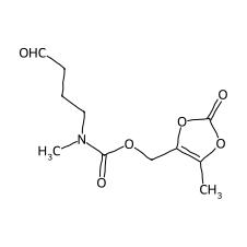 Cc1oc(=O)oc1COC(=O)N(C)CCCC=O